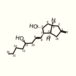 C=C1C[C@H]2C[C@@H](O)[C@H](/C=C/CC(O)CCCC)[C@@H]2C1